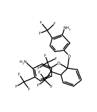 Nc1cc(OC2(Oc3ccc(C(F)(F)F)c(N)c3)C=CC=CC2C(C(F)(F)F)C(F)(F)F)ccc1C(F)(F)F